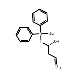 C=CC[C@@H](O)O[Si](c1ccccc1)(c1ccccc1)C(C)(C)C